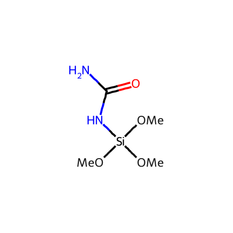 CO[Si](NC(N)=O)(OC)OC